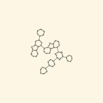 c1ccc(-c2ccc(-c3nc(-c4ccccc4)nc(-c4cccc5oc6c(-c7cc(-c8ccccc8)cc8oc9ccccc9c78)cccc6c45)n3)cc2)cc1